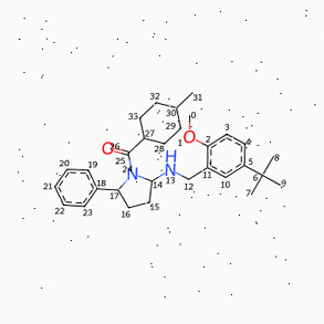 COc1ccc(C(C)(C)C)cc1CNC1CCC(c2ccccc2)N1C(=O)C1CCC(C)CC1